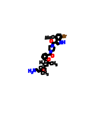 COc1ccc(Br)c2[nH]cc(C(=O)N3CCN(C(=O)c4ccccc4OC(C)(C)CCOC(C)(C)CCN)CC3)c12